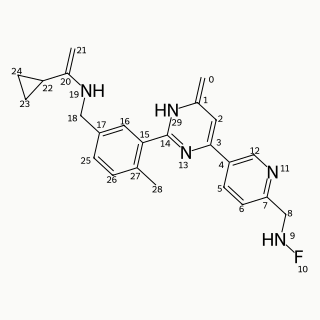 C=C1C=C(c2ccc(CNF)nc2)N=C(c2cc(CNC(=C)C3CC3)ccc2C)N1